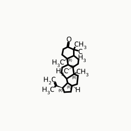 C=C(C)[C@@H]1CC[C@@H]2CC[C@]3(C)C(CCC4[C@@]5(C)CCC(=O)C(C)(C)C5CC[C@]43C)C21